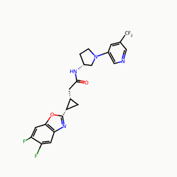 O=C(C[C@@H]1C[C@@H]1c1nc2cc(F)c(F)cc2o1)N[C@@H]1CCN(c2cncc(C(F)(F)F)c2)C1